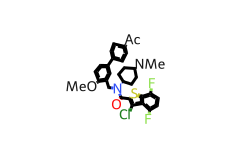 CN[C@H]1CC[C@H](N(Cc2cc(-c3ccc(C(C)=O)cc3)ccc2OC)C(=O)c2sc3c(F)ccc(F)c3c2Cl)CC1